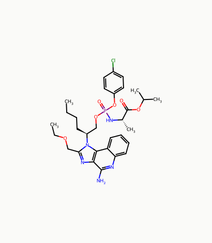 CCCC[C@@H](COP(=O)(N[C@@H](C)C(=O)OC(C)C)Oc1ccc(Cl)cc1)n1c(COCC)nc2c(N)nc3ccccc3c21